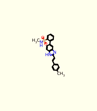 CNS(=O)(=O)c1ccccc1-c1ccc2[nH]c(C=Cc3ccc(C)cc3)nc2c1